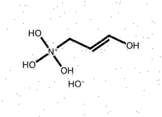 OC=CC[N+](O)(O)O.[OH-]